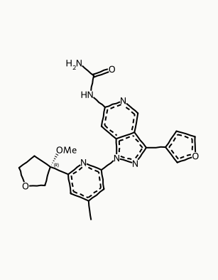 CO[C@@]1(c2cc(C)cc(-n3nc(-c4ccoc4)c4cnc(NC(N)=O)cc43)n2)CCOC1